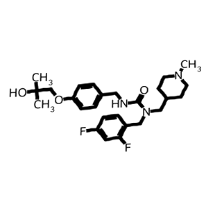 CN1CCC(CN(Cc2ccc(F)cc2F)C(=O)NCc2ccc(OCC(C)(C)O)cc2)CC1